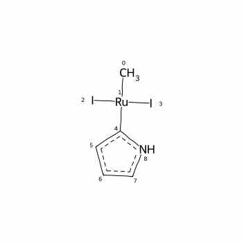 [CH3][Ru]([I])([I])[c]1ccc[nH]1